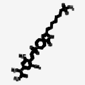 Cc1cc(N(C)C(N)=O)cc(C)c1C=CS(=O)(=O)N1CCC2(CC1)N=C(CCCCCCCS(C)(=O)=O)NC2=O